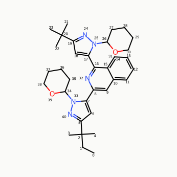 CCC(C)(C)c1cc(-c2cc3ccccc3c(-c3cc(C(C)(C)C)nn3C3CCCCO3)n2)n(C2CCCCO2)n1